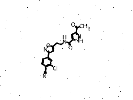 CC(=O)c1cc(C(=O)NCCc2cc(-c3ccc(C#N)c(Cl)c3)no2)[nH]n1